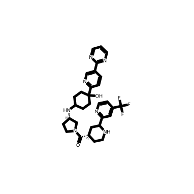 O=C([C@H]1CCNC(c2cc(C(F)(F)F)ccn2)C1)N1CC[C@H](NC2CCC(O)(c3ccc(-c4ncccn4)cn3)CC2)C1